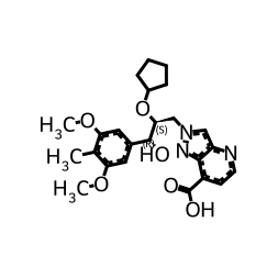 COc1cc([C@@H](O)[C@H](Cn2cc3nccc(C(=O)O)c3n2)OC2CCCC2)cc(OC)c1C